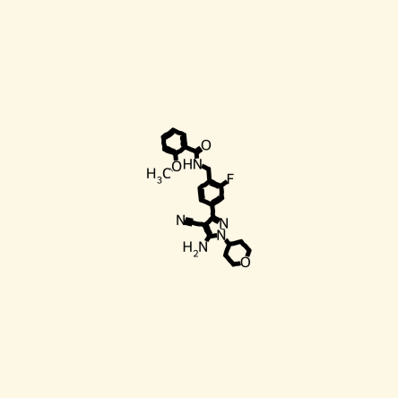 COc1ccccc1C(=O)NCc1ccc(-c2nn(C3CCOCC3)c(N)c2C#N)cc1F